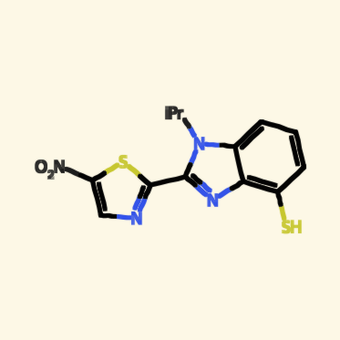 CC(C)n1c(-c2ncc([N+](=O)[O-])s2)nc2c(S)cccc21